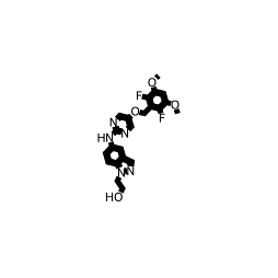 COc1cc(OC)c(F)c(COc2cnc(Nc3ccc4c(cnn4CCO)c3)nc2)c1F